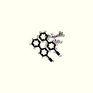 C#Cc1ccc(-c2ccccc2)cc1.C#Cc1ccc(-c2ccccc2)cc1.CCCCP(CCCC)CCCC.[Pt]